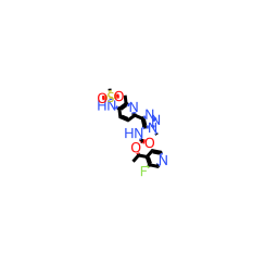 Cc1nc(-c2nnn(C)c2NC(=O)OC(C)c2ccncc2F)ccc1NS(C)(=O)=O